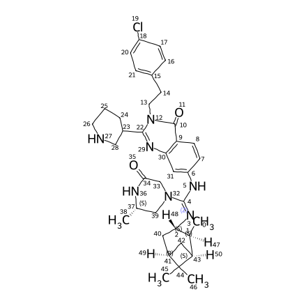 C[C@@H]1[C@@H](/N=C(/Nc2ccc3c(=O)n(CCc4ccc(Cl)cc4)c(C4CCCNC4)nc3c2)N2CC(=O)N[C@@H](C)C2)C[C@H]2C[C@@H]1C2(C)C